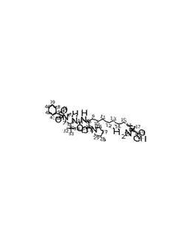 CN(CC(NC(=O)N[C@@H](CCCCCCCC1C[C@]1(N)C(=O)O)C(=O)N1CCCC1)C(C)(C)C)S(=O)(=O)c1ccccc1